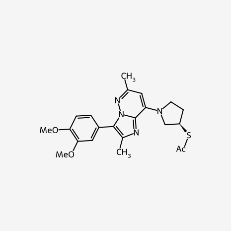 COc1ccc(-c2c(C)nc3c(N4CC[C@@H](SC(C)=O)C4)cc(C)nn23)cc1OC